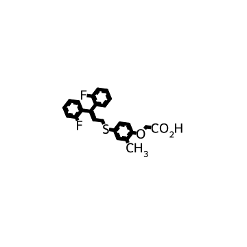 Cc1cc(SCC=C(c2ccccc2F)c2ccccc2F)ccc1OCC(=O)O